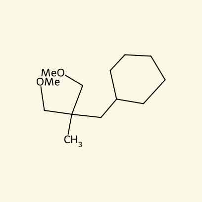 COCC(C)(COC)CC1CCCCC1